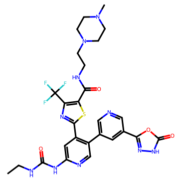 CCNC(=O)Nc1cc(-c2nc(C(F)(F)F)c(C(=O)NCCN3CCN(C)CC3)s2)c(-c2cncc(-c3n[nH]c(=O)o3)c2)cn1